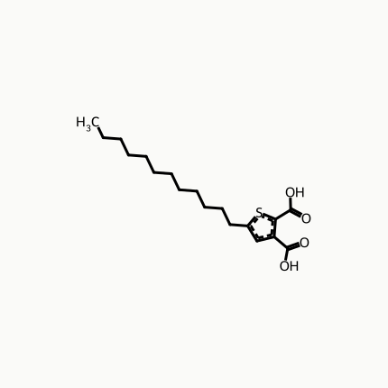 CCCCCCCCCCCCc1cc(C(=O)O)c(C(=O)O)s1